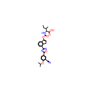 CCC(C)C(NC(=O)OC1=CCc2c1cccc2-c1noc(-c2ccc(OC(C)C)c(C#N)c2)n1)C(=O)O